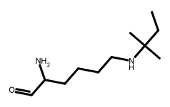 CCC(C)(C)NCCCCC(N)C=O